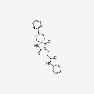 O=C(CCN1C(=O)NC2(CCN(c3ncccn3)CC2)C1=O)Nc1ccccc1